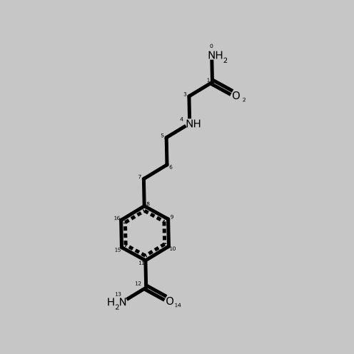 NC(=O)CNCCCc1ccc(C(N)=O)cc1